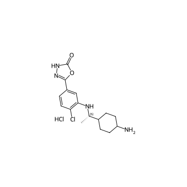 C[C@H](Nc1cc(-c2n[nH]c(=O)o2)ccc1Cl)C1CCC(N)CC1.Cl